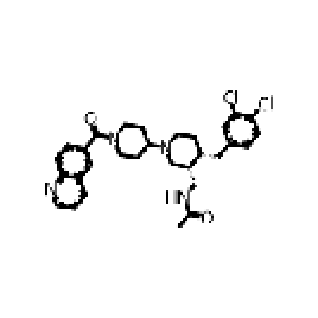 CC(=O)NC[C@@H]1CN(C2CCN(C(=O)c3ccc4ncccc4c3)CC2)CC[C@@H]1Cc1ccc(Cl)c(Cl)c1